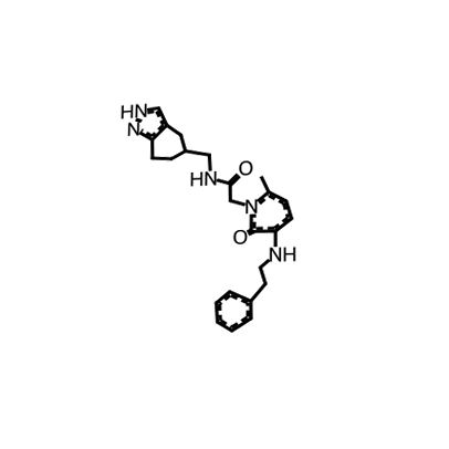 Cc1ccc(NCCc2ccccc2)c(=O)n1CC(=O)NCC1CCc2n[nH]cc2C1